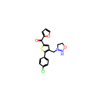 O=C(c1ccco1)c1cc(CN2CCON2)c(-c2ccc(Cl)cc2)s1